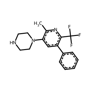 Cc1nc(C(F)(F)F)c(-c2ccccc2)cc1N1CCNCC1